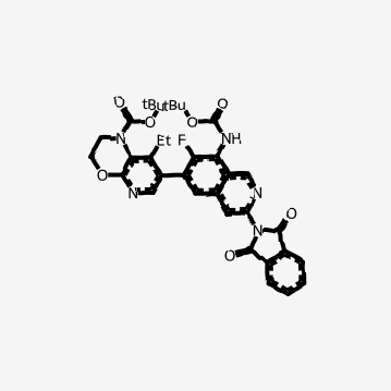 CCc1c(-c2cc3cc(N4C(=O)c5ccccc5C4=O)ncc3c(NC(=O)OC(C)(C)C)c2F)cnc2c1N(C(=O)OC(C)(C)C)CCO2